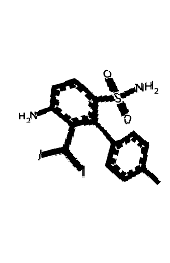 Cc1ccc(-c2c(S(N)(=O)=O)ccc(N)c2C(I)I)cc1